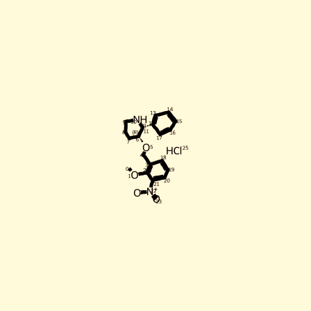 COc1c(CO[C@@H]2CCCN[C@@H]2c2ccccc2)cccc1[N+](=O)[O-].Cl